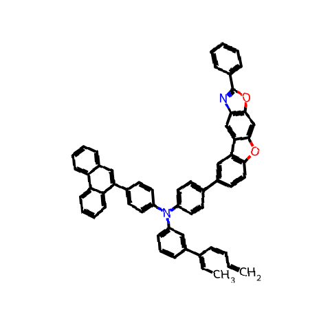 C=C/C=C\C(=C/C)c1cccc(N(c2ccc(-c3ccc4oc5cc6oc(-c7ccccc7)nc6cc5c4c3)cc2)c2ccc(-c3cc4ccccc4c4ccccc34)cc2)c1